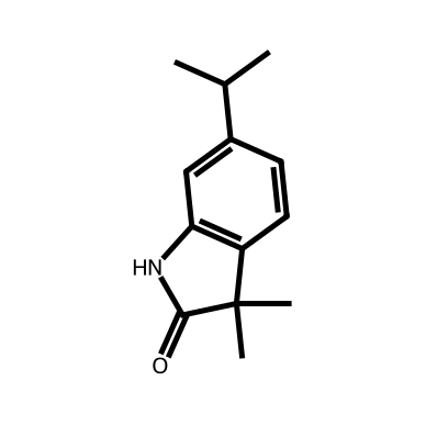 CC(C)c1ccc2c(c1)NC(=O)C2(C)C